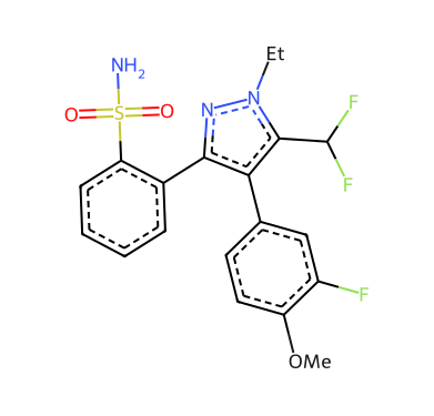 CCn1nc(-c2ccccc2S(N)(=O)=O)c(-c2ccc(OC)c(F)c2)c1C(F)F